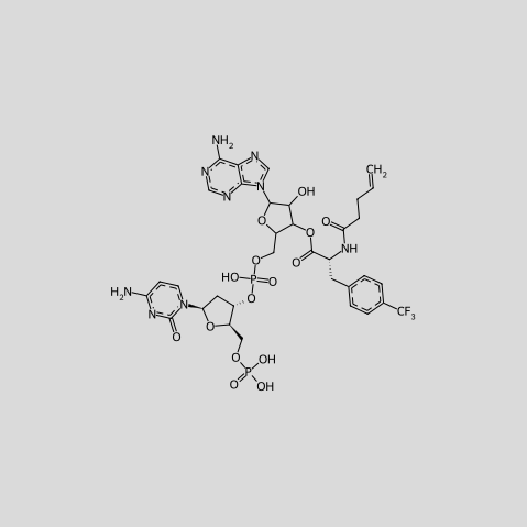 C=CCCC(=O)N[C@H](Cc1ccc(C(F)(F)F)cc1)C(=O)OC1C(COP(=O)(O)O[C@H]2C[C@H](n3ccc(N)nc3=O)O[C@@H]2COP(=O)(O)O)OC(n2cnc3c(N)ncnc32)C1O